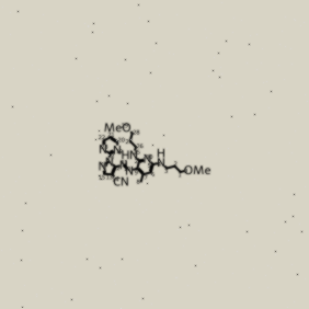 COCCCNc1cc(C)c(/N=N/c2c(C#N)cnn2-c2ncccn2)c(NCCCOC)n1